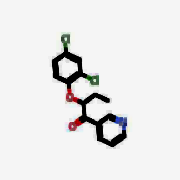 CCC(Oc1ccc(Cl)cc1Cl)C(=O)c1cccnc1